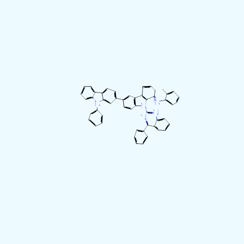 Cc1ccccc1/N=C1\CC=Cc2c1n(-c1nc(-c3ccccc3)c3ccccc3n1)c1ccc(-c3ccc4c5ccccc5n(-c5ccccc5)c4c3)cc21